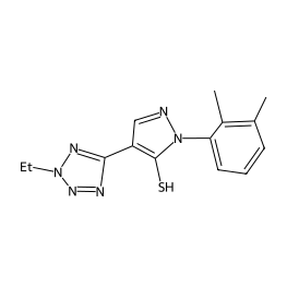 CCn1nnc(-c2cnn(-c3cccc(C)c3C)c2S)n1